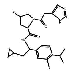 CC(C)c1ccc(C(CC2CC2)NC(=O)C2CC(F)CN2C(=O)Cc2cnn[nH]2)cc1F